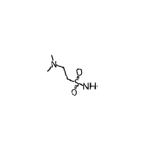 CN(C)CCS([NH])(=O)=O